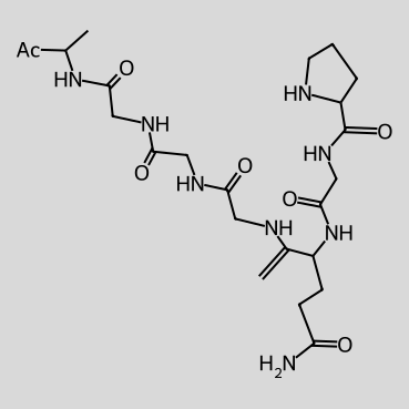 C=C(NCC(=O)NCC(=O)NCC(=O)NC(C)C(C)=O)C(CCC(N)=O)NC(=O)CNC(=O)C1CCCN1